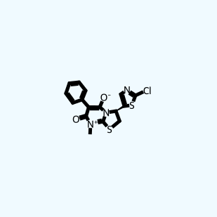 C[n+]1c2n(c([O-])c(-c3ccccc3)c1=O)[C@@H](c1cnc(Cl)s1)CS2